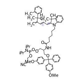 C=C(/C=C/C=C1/N(CCCCCC(=O)NC(COOP(OCCC#N)N(C(C)C)C(C)C)COC(c2ccccc2)(c2ccc(OC)cc2)c2ccc(OC)cc2)c2ccccc2C1(C)C)C(C)(C)c1ccccc1C